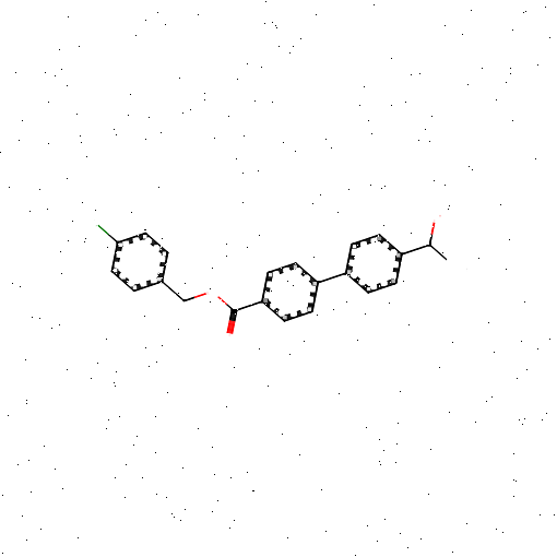 CC(O)c1ccc(-c2ccc(C(=O)OCc3ccc(Cl)cc3)cc2)cc1